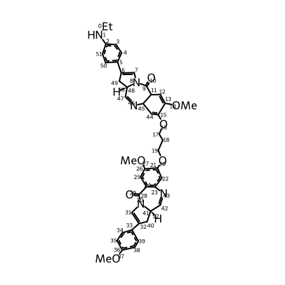 CCNc1ccc(C2=CN3C(=O)C4C=C(OC)C(OCCCOc5cc6c(cc5OC)C(=O)N5C=C(c7ccc(OC)cc7)C[C@H]5C=N6)=CC4N=C[C@@H]3C2)cc1